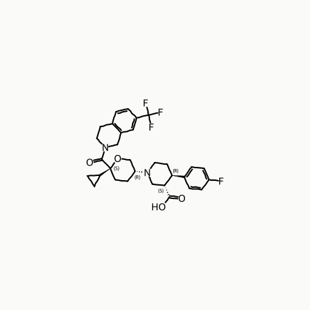 O=C(O)[C@@H]1CN([C@@H]2CC[C@@](C(=O)N3CCc4ccc(C(F)(F)F)cc4C3)(C3CC3)OC2)CC[C@H]1c1ccc(F)cc1